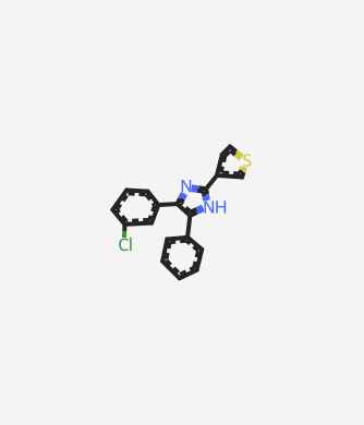 Clc1cccc(-c2nc(-c3ccsc3)[nH]c2-c2ccccc2)c1